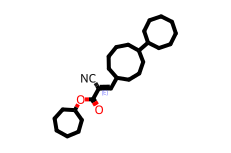 N#C/C(=C\C1CCCCC(C2CCCCCCC2)CCC1)C(=O)OC1CCCCCC1